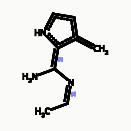 C=c1cc[nH]/c1=C(N)/N=C\C